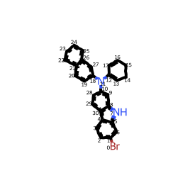 Brc1ccc2c(c1)[nH]c1cc(N(C3=CCCC=C3)c3ccc4ccccc4c3)ccc12